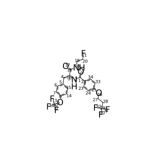 O=C(N[C@@H](Cc1ccc(OC(F)(F)F)cc1)C(=O)NCCF)c1ccc(OCCC(F)(F)F)cc1